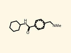 CNCc1ccc(C(=O)NC2CCCCC2)cc1